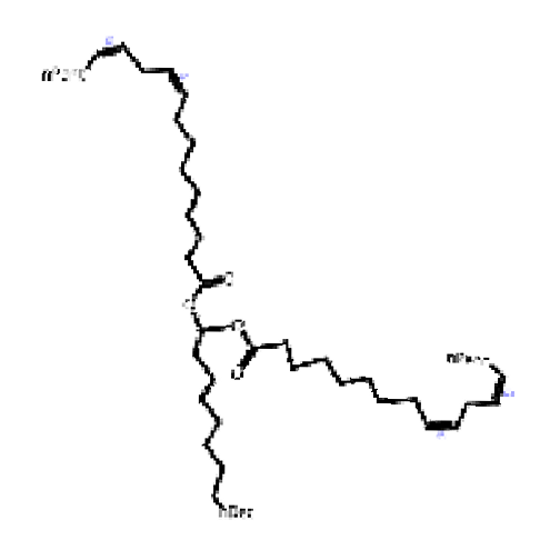 CCCCC/C=C\C/C=C\CCCCCCCC(=O)O[C](CCCCCCCCCCCCCCCCC)OC(=O)CCCCCCC/C=C\C/C=C\CCCCC